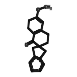 COC1=CC2=C(CC1)C(=O)C1(CC2)Cc2ccccc2C1